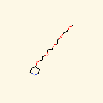 COCCOCCOCCOCCOC1CCNCC1